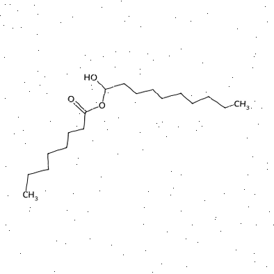 CCCCCCCCCC(O)OC(=O)CCCCCCC